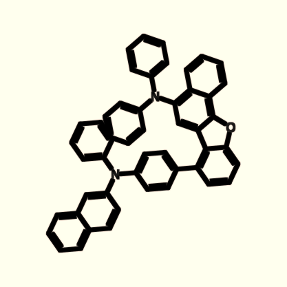 c1ccc(N(c2ccc(-c3cccc4oc5c6ccccc6c(N(c6ccccc6)c6ccccc6)cc5c34)cc2)c2ccc3ccccc3c2)cc1